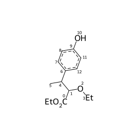 CCOC(=O)C(OCC)C(C)c1ccc(O)cc1